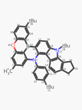 Cc1cc2c3c(c1)N(c1ccc(C(C)(C)C)cc1)c1c(ccc4c1c1ccc5c(c1n4C(C)(C)C)CCC5)B3c1cc(C(C)(C)C)ccc1O2